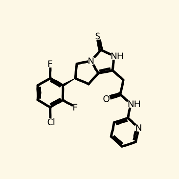 O=C(Cc1[nH]c(=S)n2c1C[C@@H](c1c(F)ccc(Cl)c1F)C2)Nc1ccccn1